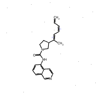 C=C/C=C\C=C(/C)C1CCN(C(=O)Nc2cccc3cnccc23)C1